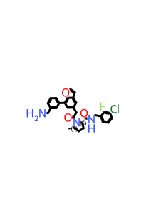 C[C@@H]1CC[C@@H](C(=O)NCc2cccc(Cl)c2F)N1C(=O)Cc1cc(-c2cccc(CN)c2)c2occc2c1